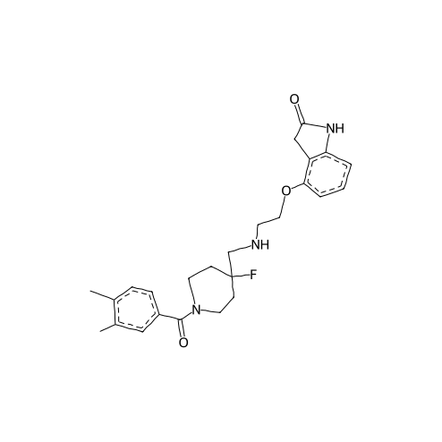 Cc1ccc(C(=O)N2CCC(F)(CNCCOc3cccc4c3CC(=O)N4)CC2)cc1C